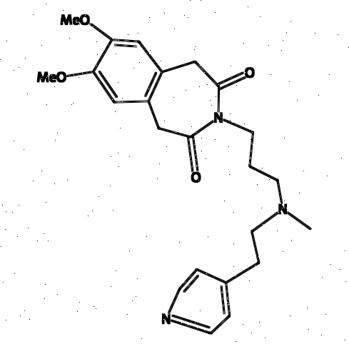 COc1cc2c(cc1OC)CC(=O)N(CCCN(C)CCc1ccncc1)C(=O)C2